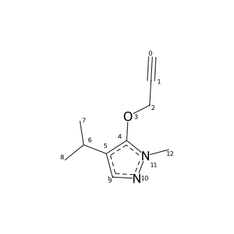 C#CCOc1c(C(C)C)[c]nn1C